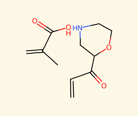 C=C(C)C(=O)O.C=CC(=O)C1CNCCO1